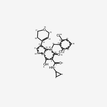 O=C(NC1CC1)c1c(O)n2ncc(C3=CCOCC3)c2n(Cc2c(Cl)cccc2Cl)c1=O